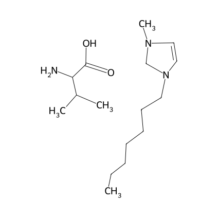 CC(C)C(N)C(=O)O.CCCCCCCN1C=CN(C)C1